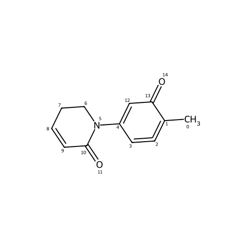 CC1=C=CC(N2CCC=CC2=O)=CC1=O